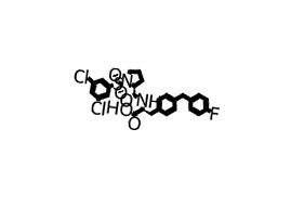 O=C(O)[C@H](Cc1ccc(Cc2ccc(F)cc2)cc1)NC(=O)[C@@H]1CCCN1S(=O)(=O)c1cc(Cl)cc(Cl)c1